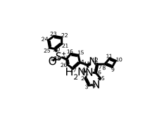 N[N+]12C=CN=CC1=C(C1=CC=C1)N=C2c1ccc([S+]([O-])c2ccccc2)cc1